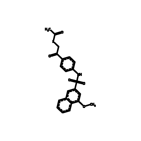 COc1cc(S(=O)(=O)Nc2ccc(C(=O)CSC(C)=O)cc2)cc2ccccc12